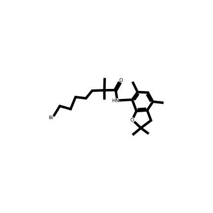 Cc1cc(C)c(NC(=O)C(C)(C)CCCCCBr)c2c1CC(C)(C)O2